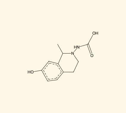 CC1c2cc(O)ccc2CCN1NC(=O)O